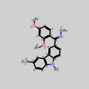 CCn1c2ccc(/C(=N/OC(C)=O)c3ccc(OC(C)C)cc3OC(C)C)cc2c2cc([N+](=O)[O-])ccc21